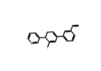 C=Cc1cccc(C2=CCC(c3cccnc3)C(I)=C2)c1